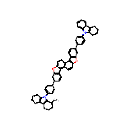 CC1CCCc2c3c(n(-c4ccc(-c5ccc6c7c(oc6c5)=CCC5C=7C=Cc6oc7cc(-c8ccc(-n9c%10c(c%11ccccc%119)CCC=C%10)cc8)ccc7c65)cc4)c21)C=CCC3